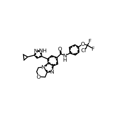 O=C(Nc1ccc(OC(F)(F)Cl)cc1)c1cc(-c2cc(C3CC3)n[nH]2)c2c(c1)nc1n2CCOC1